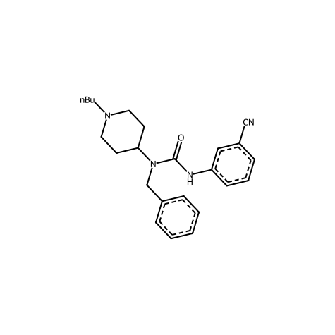 CCCCN1CCC(N(Cc2ccccc2)C(=O)Nc2cccc(C#N)c2)CC1